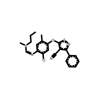 CCCN(C)/C=N\c1cc(C)c(Oc2snc(-c3ccccc3)c2C#N)cc1Cl